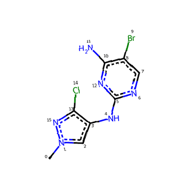 Cn1cc(Nc2ncc(Br)c(N)n2)c(Cl)n1